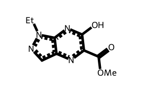 CCn1ncc2nc(C(=O)OC)c(O)nc21